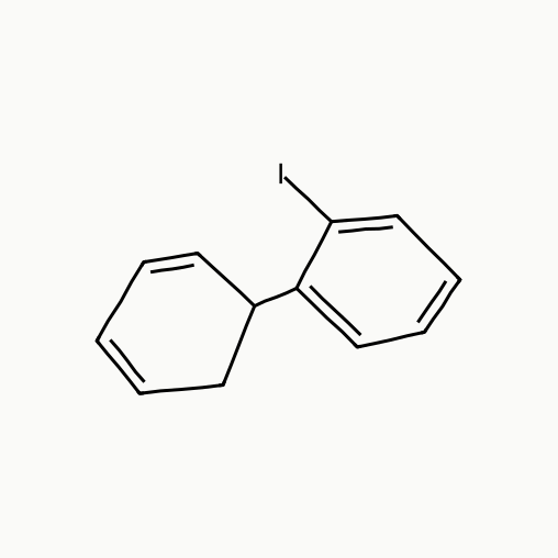 Ic1ccccc1C1C=CC=CC1